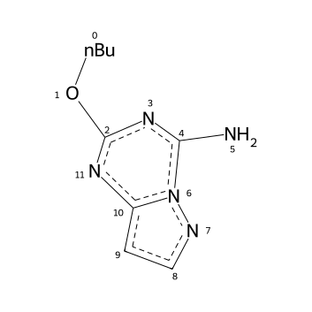 CCCCOc1nc(N)n2nccc2n1